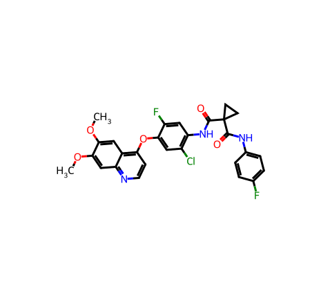 COc1cc2nccc(Oc3cc(Cl)c(NC(=O)C4(C(=O)Nc5ccc(F)cc5)CC4)cc3F)c2cc1OC